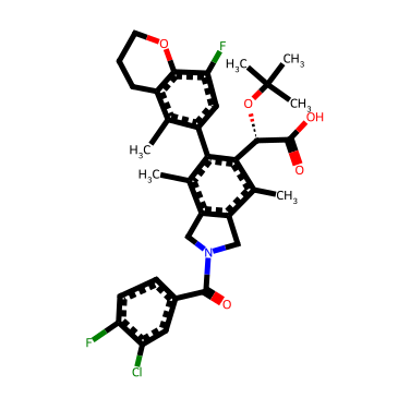 Cc1c(-c2c(C)c3c(c(C)c2[C@H](OC(C)(C)C)C(=O)O)CN(C(=O)c2ccc(F)c(Cl)c2)C3)cc(F)c2c1CCCO2